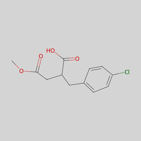 COC(=O)CC(Cc1ccc(Cl)cc1)C(=O)O